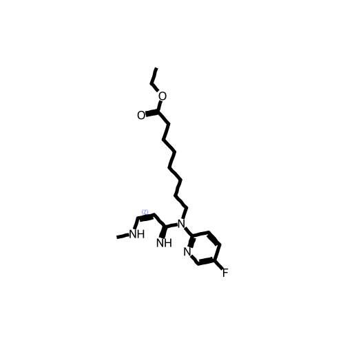 CCOC(=O)CCCCCCCN(C(=N)/C=C\NC)c1ccc(F)cn1